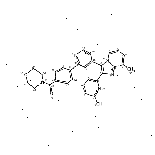 Cc1cccc(-c2nc3c(C)cccn3c2-c2ccnc(-c3ccc(C(=O)N4CCOCC4)cc3)c2)n1